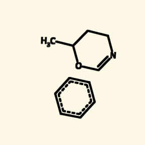 CC1CCN=CO1.c1ccccc1